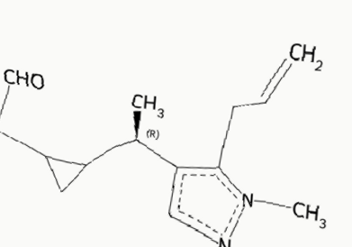 C=CCc1c([C@H](C)C2CC2CC=O)cnn1C